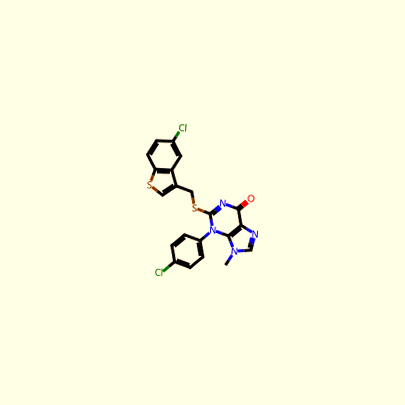 Cn1cnc2c(=O)nc(SCc3csc4ccc(Cl)cc34)n(-c3ccc(Cl)cc3)c21